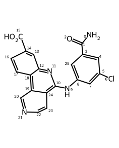 NC(=O)c1cc(Cl)cc(Nc2nc3cc(C(=O)O)ccc3c3cnccc23)c1